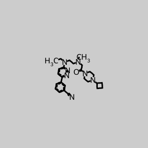 CCN(CCN(C)CC(=O)N1CCN(C2CCC2)CC1)c1ccc(-c2cccc(C#N)c2)nn1